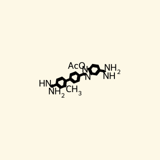 CC(=O)On1c(-c2ccc(-c3ccc(C(=N)N)cc3C)cc2)nc2cc(C(=N)N)ccc21